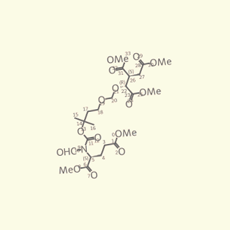 COC(=O)CC[C@@H](C(=O)OC)N(C=O)C(=O)OC(C)(C)CCOCO[C@@H](C(=O)OC)[C@H](CC(=O)OC)C(=O)OC